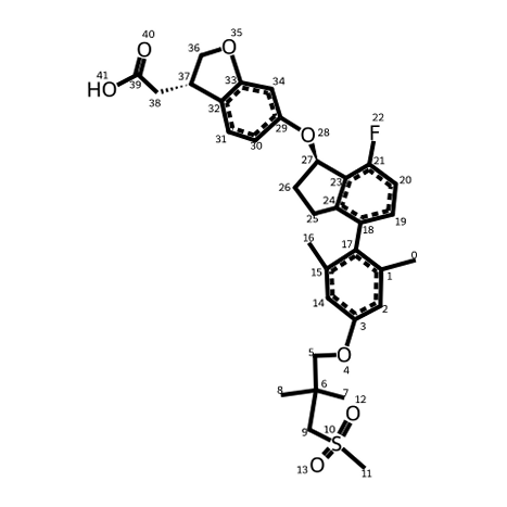 Cc1cc(OCC(C)(C)CS(C)(=O)=O)cc(C)c1-c1ccc(F)c2c1CC[C@H]2Oc1ccc2c(c1)OC[C@H]2CC(=O)O